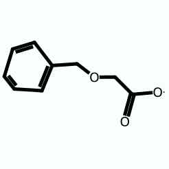 [O]C(=O)COCc1ccccc1